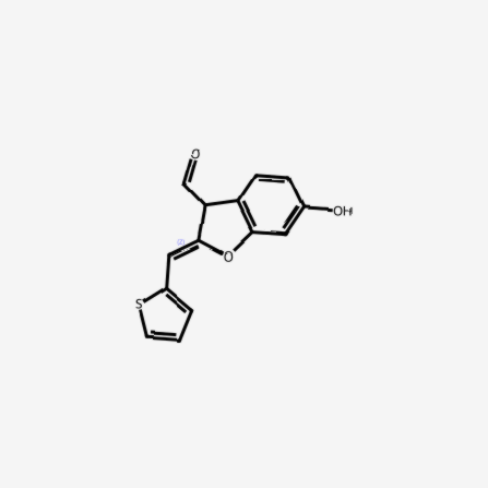 O=CC1/C(=C/c2cccs2)Oc2cc(O)ccc21